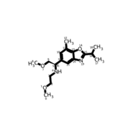 COCCN[C@@H](COC)c1cc(C)c2oc(C(C)C)nc2c1